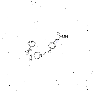 O=C(O)/C=C/c1ccc(OCCN2CCC(N[C@@H]3C[C@H]3c3ccccc3)CC2)cc1